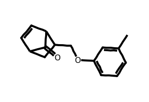 Cc1cccc(OCC2CC3C=CC2C3=O)c1